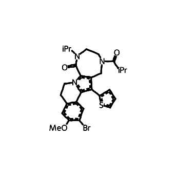 COc1cc2c(cc1Br)-c1c(-c3cccs3)c3c(n1CC2)C(=O)N(C(C)C)CCN(C(=O)C(C)C)C3